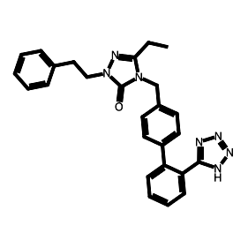 CCc1nn(CCc2ccccc2)c(=O)n1Cc1ccc(-c2ccccc2-c2nnn[nH]2)cc1